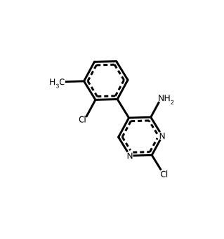 Cc1cccc(-c2cnc(Cl)nc2N)c1Cl